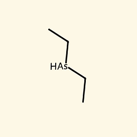 CC[AsH]CC